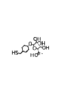 C[C@H](O)C(CO)OC(OC1CCC(CS)CC1)C(O)O